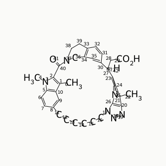 Cc1c2n(C)c3ccc(cc13)CCCCCCn1nnc3c(C)c(cnc31)[C@H](CC(=O)O)c1ccc3c(c1)CN(CC3)C2=O